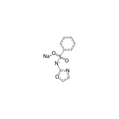 O=S(=O)([N-]c1ncco1)c1ccccc1.[Na+]